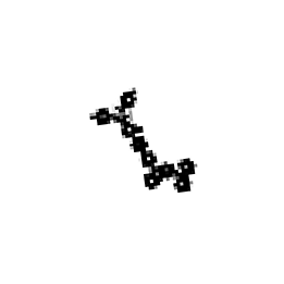 Cc1ccc(-c2cc(-c3ccc(-c4ccc(-c5ccc(-n6c7ccccc7c7cc(-n8c9ccccc9c9ccccc98)ccc76)cc5)cc4)c(C)c3)nc(-c3ccc(C)cc3)n2)cc1